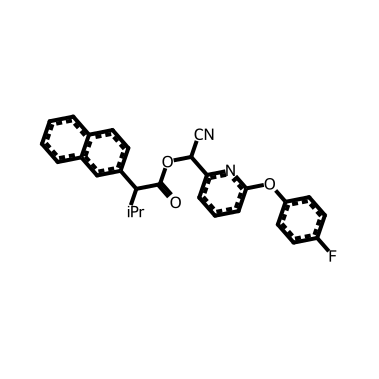 CC(C)C(C(=O)OC(C#N)c1cccc(Oc2ccc(F)cc2)n1)c1ccc2ccccc2c1